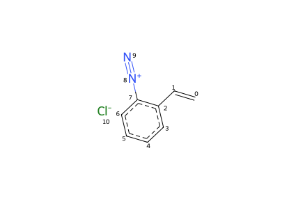 C=Cc1ccccc1[N+]#N.[Cl-]